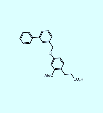 COc1cc(OCc2cccc(-c3ccccc3)c2)ccc1CCC(=O)O